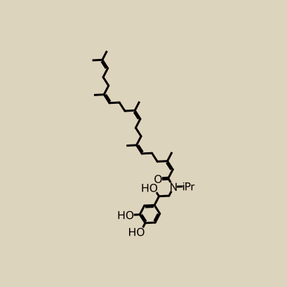 CC(C)=CCCC(C)=CCCC(C)=CCCC(C)=CCCC(C)=CC(=O)N(CC(O)c1ccc(O)c(O)c1)C(C)C